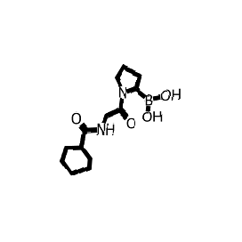 O=C(NCC(=O)N1CCCC1B(O)O)C1CCCCC1